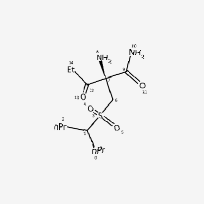 CCCC(CCC)S(=O)(=O)C[C@@](N)(C(N)=O)C(=O)CC